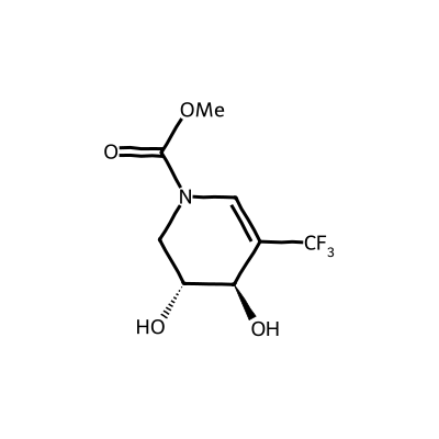 COC(=O)N1C=C(C(F)(F)F)[C@@H](O)[C@H](O)C1